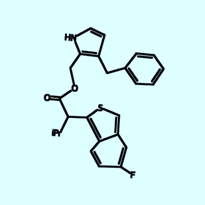 CC(C)C(C(=O)OCc1[nH]ccc1Cc1ccccc1)c1scc2cc(F)ccc12